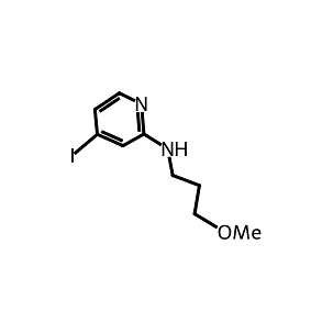 COCCCNc1cc(I)ccn1